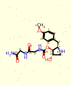 COc1ccc(C[C@H]2NC[C@H](O)[C@H]2OC(=O)NCC(=O)NCC(N)=O)cc1